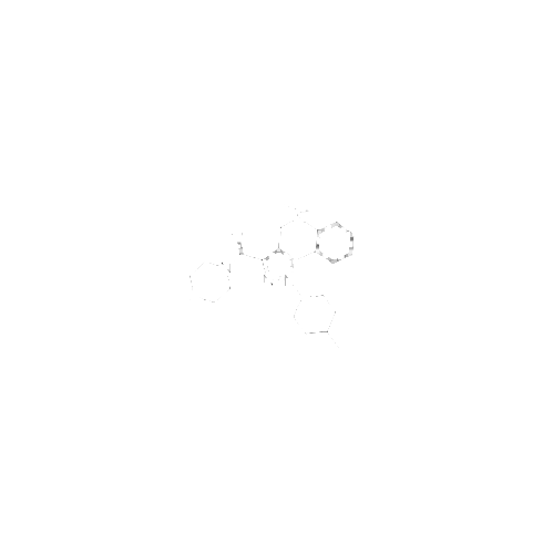 CC1CCC(n2nc(C(=O)N3CCOCC3)c3c2-c2ccccc2S(=O)(=O)C3)CC1